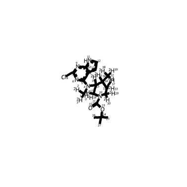 [2H]C([2H])([2H])N(c1nc(Cl)nc2[nH]ccc12)C1([2H])C([2H])([2H])N(C(=O)OC(C)(C)C)C([2H])([2H])C([2H])([2H])C1([2H])C([2H])([2H])[2H]